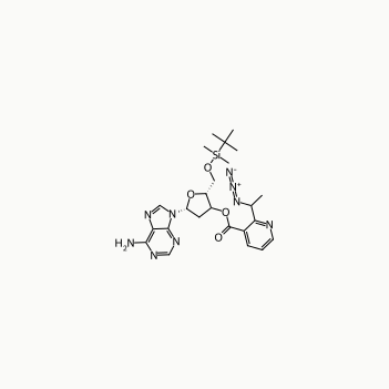 CC(N=[N+]=[N-])c1ncccc1C(=O)OC1C[C@H](n2cnc3c(N)ncnc32)O[C@@H]1CO[Si](C)(C)C(C)(C)C